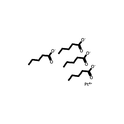 CCCCC(=O)[O-].CCCCC(=O)[O-].CCCCC(=O)[O-].CCCCC(=O)[O-].[Pt+4]